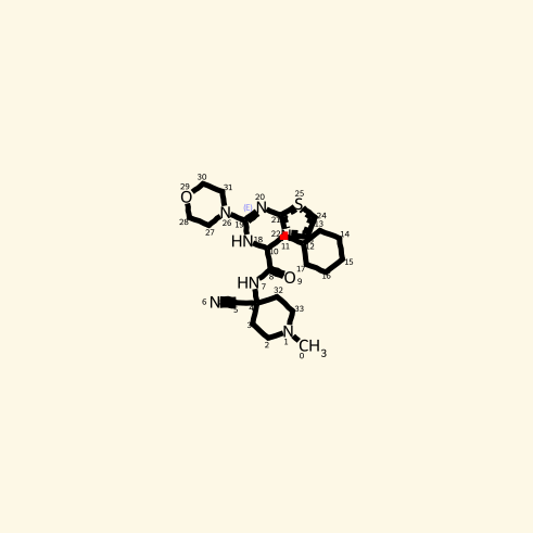 CN1CCC(C#N)(NC(=O)C(CC2CCCCC2)N/C(=N\c2nccs2)N2CCOCC2)CC1